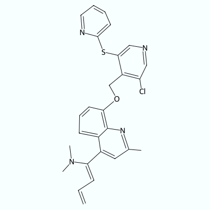 C=C/C=C(/c1cc(C)nc2c(OCc3c(Cl)cncc3Sc3ccccn3)cccc12)N(C)C